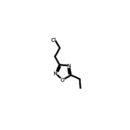 CCc1nc(CCCl)no1